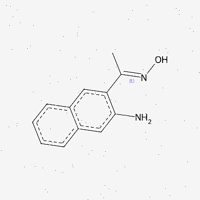 C/C(=N\O)c1cc2ccccc2cc1N